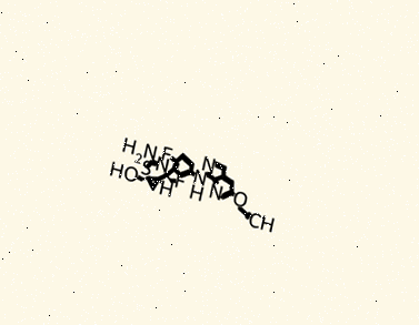 C#CCOc1cnc2c(Nc3ccc(F)c([C@@]4(CF)N=C(N)S[C@@]5(CO)C[C@H]54)c3)nccc2c1